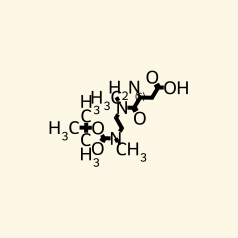 CN(CCN(C)C(=O)[C@@H](N)CC(=O)O)C(=O)OC(C)(C)C